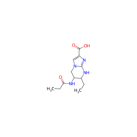 CCC(=O)NC1Cn2cc(C(=O)O)nc2NC1CC